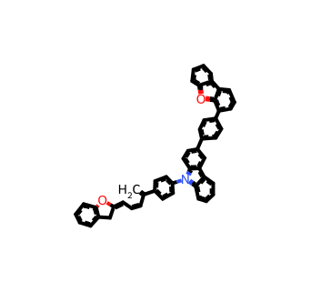 C=C(/C=C\C=C1/Cc2ccccc2O1)c1ccc(-n2c3ccccc3c3cc(-c4ccc(-c5cccc6c5oc5ccccc56)cc4)ccc32)cc1